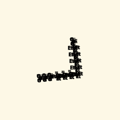 CC[N+](C)(CC)CC.CC[N+](C)(CC)CC.CC[N+](C)(CC)CC.CC[N+](C)(CC)CC.CC[N+](C)(CC)CC.CC[N+](C)(CC)CC.CC[N+](C)(CC)CC.CC[N+](C)(CC)CC.[O-]B([O-])F.[O-]B([O-])F.[O-]B([O-])F.[O-]B([O-])F